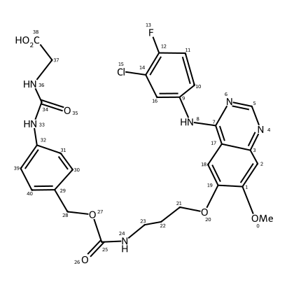 COc1cc2ncnc(Nc3ccc(F)c(Cl)c3)c2cc1OCCCNC(=O)OCc1ccc(NC(=O)NCC(=O)O)cc1